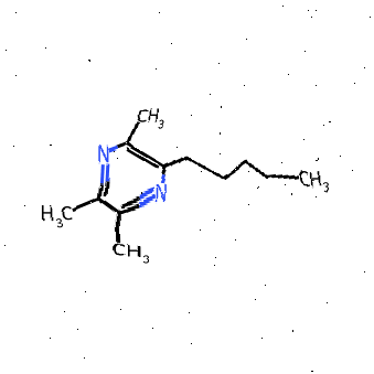 CCCCCc1nc(C)c(C)nc1C